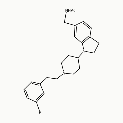 CC(=O)NCc1ccc2c(c1)N(C1CCN(CCc3cccc(F)c3)CC1)CC2